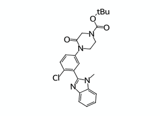 Cn1c(-c2cc(N3CCN(C(=O)OC(C)(C)C)CC3=O)ccc2Cl)nc2ccccc21